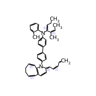 C=C/C=C\C=C1/C=CC2=C(/C=C\CC/C=C\2)N1c1ccc(-c2ccc(N(C(=C/CC)/C(C)=C\C)c3ccccc3C)cc2)cc1